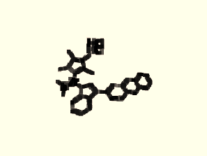 CC1=C(C)C(C)[C]([Zr]([CH]2C=C(c3ccc4cc5ccccc5cc4c3)c3ccccc32)=[Si](C)C)=C1C.Cl.Cl